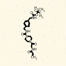 C=CC(=O)NCC(=O)N1CCN(C(=O)NCc2ccc(CNC(=O)OC(C)(C)C)cc2)CC1